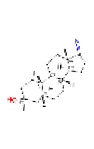 C[C@@]1(O)CC[C@H]2[C@H](CC[C@@H]3[C@@H]2CC[C@]2(C)C(=N)CC[C@@H]32)C1